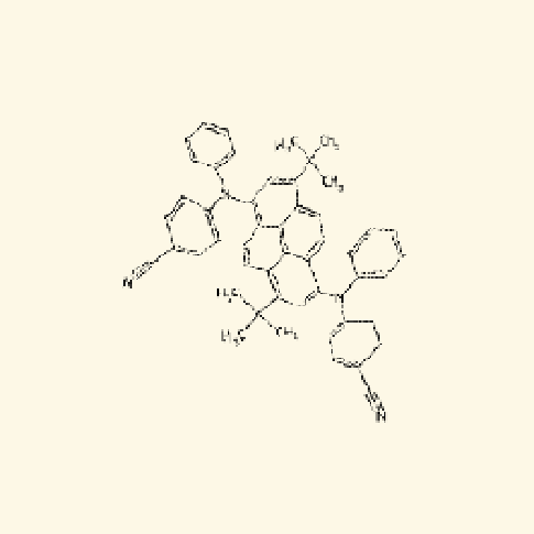 CC(C)(C)c1cc(N(C2=CC=C(C#N)CC2)c2ccccc2)c2ccc3c(C(C)(C)C)cc(N(c4ccccc4)c4ccc(C#N)cc4)c4ccc1c2c43